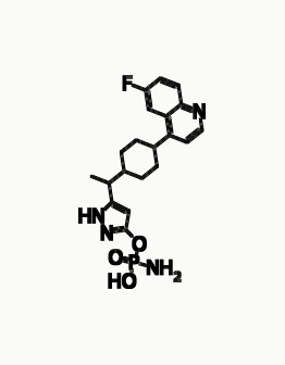 CC(c1cc(OP(N)(=O)O)n[nH]1)C1CCC(c2ccnc3ccc(F)cc23)CC1